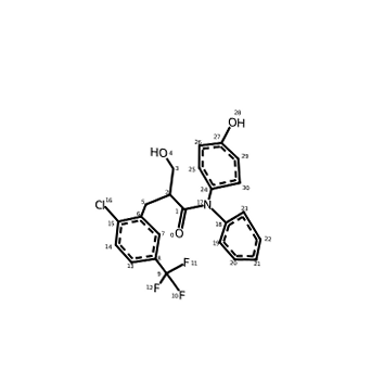 O=C(C(CO)Cc1cc(C(F)(F)F)ccc1Cl)N(c1ccccc1)c1ccc(O)cc1